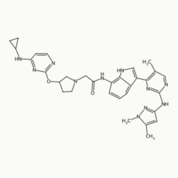 Cc1cnc(Nc2cc(C)n(C)n2)nc1-c1c[nH]c2c(NC(=O)CN3CCC(Oc4nccc(NC5CC5)n4)C3)cccc12